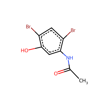 CC(=O)Nc1cc(O)c(Br)cc1Br